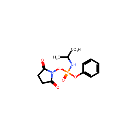 CC(NP(=O)(Oc1ccccc1)ON1C(=O)CCC1=O)C(=O)O